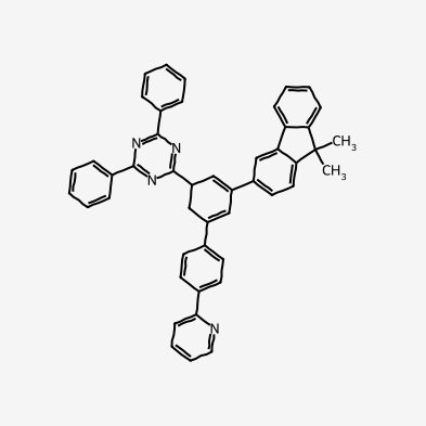 CC1(C)c2ccccc2-c2cc(C3=CC(c4nc(-c5ccccc5)nc(-c5ccccc5)n4)CC(c4ccc(-c5ccccn5)cc4)=C3)ccc21